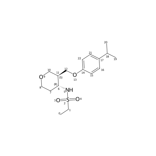 CCS(=O)(=O)N[C@@H]1CCOC[C@H]1COc1ccc(C(C)C)cc1